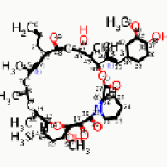 C=CC[C@@H]1/C=C(\C)C[C@H](C)C[C@H](C)[C@H]2O[C@@](O)(C(=O)C(=O)N3CCCC[C@H]3C(=O)O[C@H](/C(C)=C/[C@@H]3CC[C@@H](O)[C@H](OC)C3)C(C)[C@@H](O)CC1=O)[C@H](C)C[C@@H]2[SiH3]